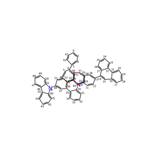 c1ccc(-c2cccc(N(c3ccc(-c4cc5ccccc5c5ccccc45)cc3)c3ccccc3-c3cc(-n4c5ccccc5c5ccccc54)ccc3-c3ccccc3)c2)cc1